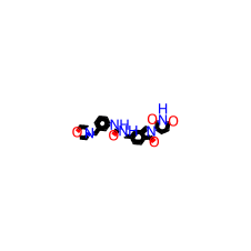 O=C1CCC(N2C=C3C=C(CNC(=O)Nc4cccc(CN5CCOCC5)c4)C=CC3C2=O)C(=O)N1